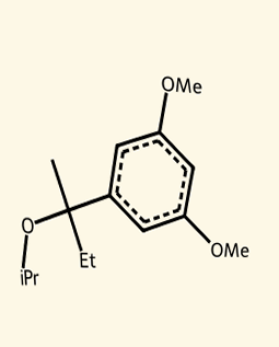 CCC(C)(OC(C)C)c1cc(OC)cc(OC)c1